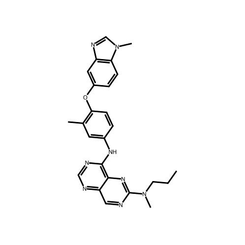 CCCN(C)c1ncc2ncnc(Nc3ccc(Oc4ccc5c(c4)ncn5C)c(C)c3)c2n1